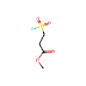 COC(=O)CCS(=O)(=O)F